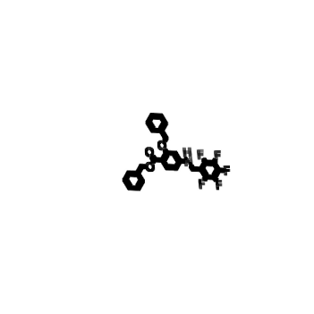 O=C(OCc1ccccc1)c1ccc(NCc2c(F)c(F)c(F)c(F)c2F)cc1OCc1ccccc1